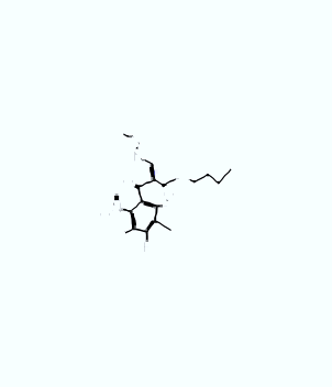 CCCCOC(=O)/C(=C/NNC)C(=O)c1c(F)c(C)c(F)c(F)c1[N+](=O)[O-]